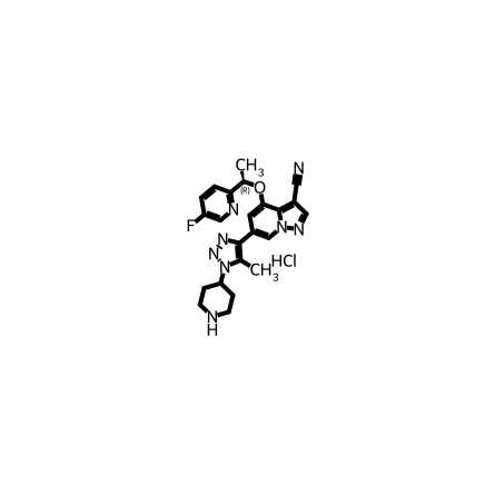 Cc1c(-c2cc(O[C@H](C)c3ccc(F)cn3)c3c(C#N)cnn3c2)nnn1C1CCNCC1.Cl